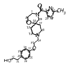 Cc1nc(C(=O)N2CCOC3(CCN(CCOc4ccc(CCO)cc4)CC3)C2)cs1